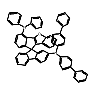 c1ccc(-c2ccc(N(c3ccc(-c4ccccc4)cc3)c3ccc4c(c3)C3(c5ccccc5-4)c4cccc(N(c5ccccc5)c5ccccc5)c4-c4oc5ccccc5c43)cc2)cc1